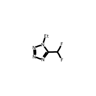 CCn1nnnc1C(F)F